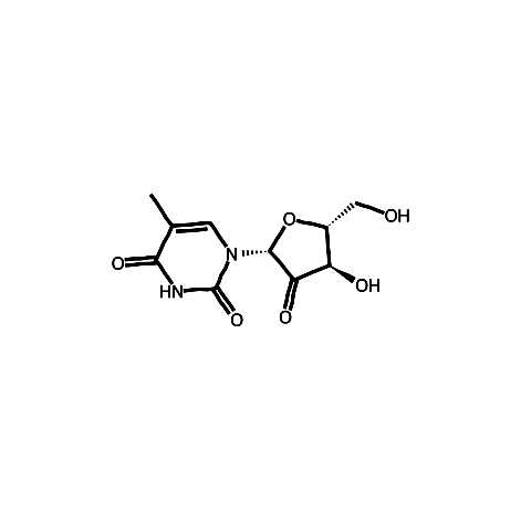 Cc1cn([C@@H]2O[C@H](CO)[C@@H](O)C2=O)c(=O)[nH]c1=O